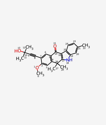 COc1cc2c(cc1C#CC(C)(C)O)C(=O)c1c([nH]c3cc(C)ccc13)C2(C)C